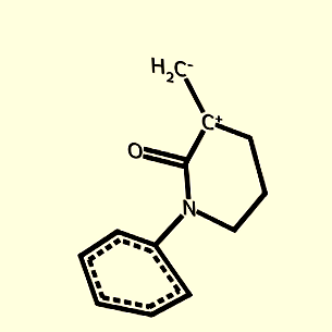 [CH2-][C+]1CCCN(c2ccccc2)C1=O